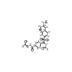 CC(=O)CN(c1ccc(C(=O)CSC(C)=O)cc1)S(=O)(=O)c1ccc2cc(CF)cnc2c1